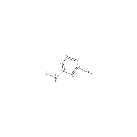 CC(C)Nc1cccc(F)c1